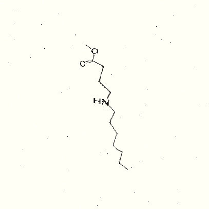 CCCCCCCNCCCC(=O)OC